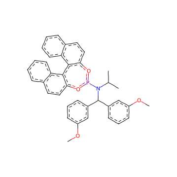 COc1cccc(C(c2cccc(OC)c2)N(C(C)C)p2oc3ccc4ccccc4c3c3c(ccc4ccccc43)o2)c1